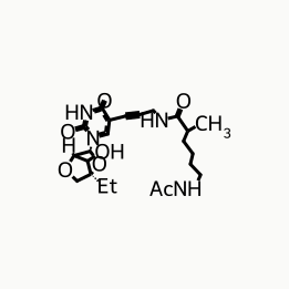 CC[C@]12CO[C@@H](C1O)[C@H](n1cc(C#CCNC(=O)C(C)CCCCNC(C)=O)c(=O)[nH]c1=O)O2